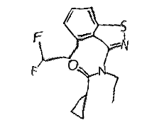 CCN(C(=O)C1CC1)c1nsc2cccc(CC(F)F)c12